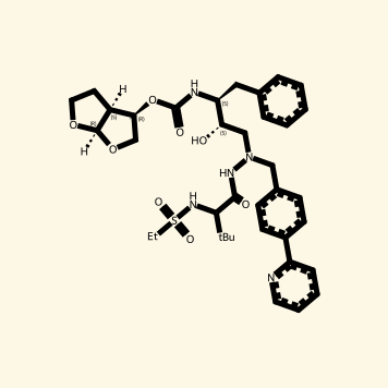 CCS(=O)(=O)NC(C(=O)NN(Cc1ccc(-c2ccccn2)cc1)C[C@H](O)[C@H](Cc1ccccc1)NC(=O)O[C@H]1CO[C@H]2OCC[C@H]21)C(C)(C)C